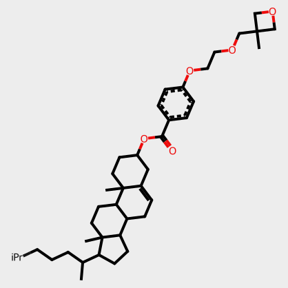 CC(C)CCCC(C)C1CCC2C3CC=C4CC(OC(=O)c5ccc(OCCOCC6(C)COC6)cc5)CCC4(C)C3CCC12C